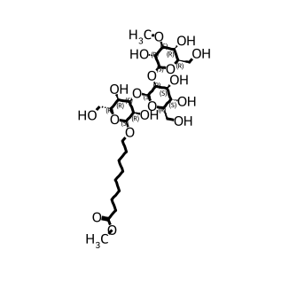 COC(=O)CCCCCCCCO[C@H]1O[C@H](CO)[C@@H](O)[C@H](O[C@@H]2O[C@H](CO)[C@@H](O)[C@H](O)[C@H]2O[C@@H]2O[C@H](CO)[C@@H](O)[C@H](OC)[C@H]2O)[C@H]1O